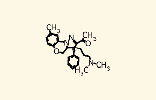 CC(=O)C1=NN2c3cc(C)ccc3OCC2[C@@]1(CCCN(C)C)c1ccccc1